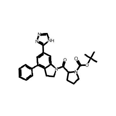 CC(C)(C)OC(=O)N1CCCC1C(=O)N1CCc2c(-c3ccccc3)cc(-c3nnc[nH]3)cc21